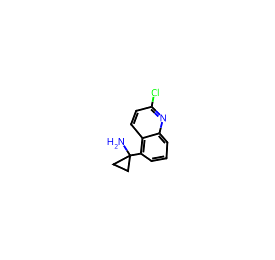 NC1(c2cccc3nc(Cl)ccc23)CC1